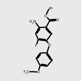 CC(C)OC(=O)c1cc(Oc2ccc(OC(F)(F)F)cc2)c(F)cc1[N+](=O)[O-]